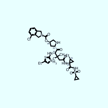 CCc1cnc(N[C@H](C(=O)[C@@H]2C[C@@H](OC(=O)N3Cc4cccc(Cl)c4C3)CN2)C(C)(C)CC(=O)N[C@]2(C(=O)NS(=O)(=O)C3CC3)C[C@@H]2CC)s1